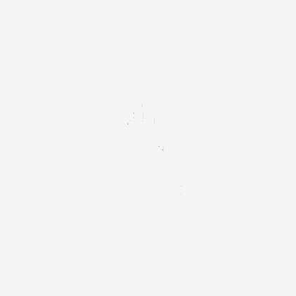 CCC1(O)CC2CCC1(CS(=O)(=O)N1CCC3(C=Cc4ccccc43)CC1)C2(C)C